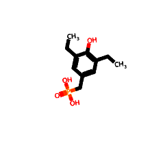 CCc1cc(CP(=O)(O)O)cc(CC)c1O